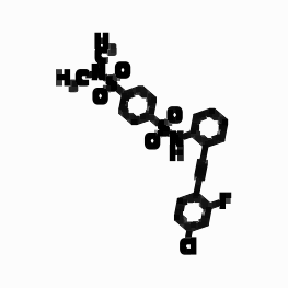 CN(C)S(=O)(=O)c1ccc(S(=O)(=O)Nc2ccccc2C#Cc2ccc(Cl)cc2F)cc1